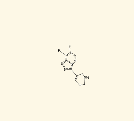 Fc1ccc2c(C3=CCCNC3)nsc2c1F